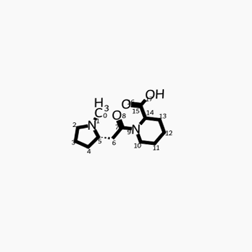 CN1CCC[C@H]1CC(=O)N1CCCCC1C(=O)O